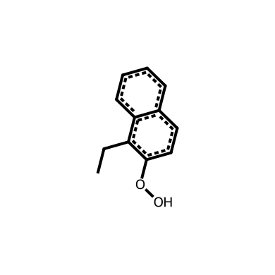 CCc1c(OO)ccc2ccccc12